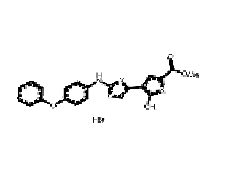 Br.COC(=O)c1cc(-c2csc(Nc3ccc(Oc4ccccc4)cc3)n2)c(C)s1